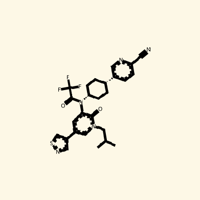 CC(C)Cn1cc(-c2cnsc2)cc(N(C(=O)C(F)(F)F)[C@H]2CC[C@@H](c3ccc(C#N)nc3)CC2)c1=O